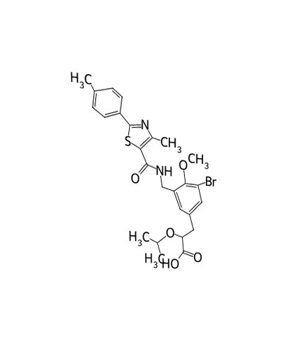 COc1c(Br)cc(CC(OC(C)C)C(=O)O)cc1CNC(=O)c1sc(-c2ccc(C)cc2)nc1C